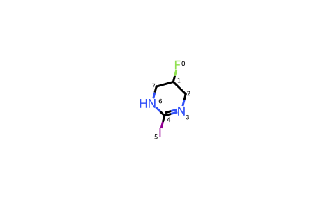 FC1CN=C(I)NC1